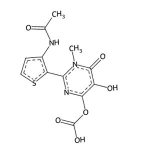 CC(=O)Nc1ccsc1-c1nc(OC(=O)O)c(O)c(=O)n1C